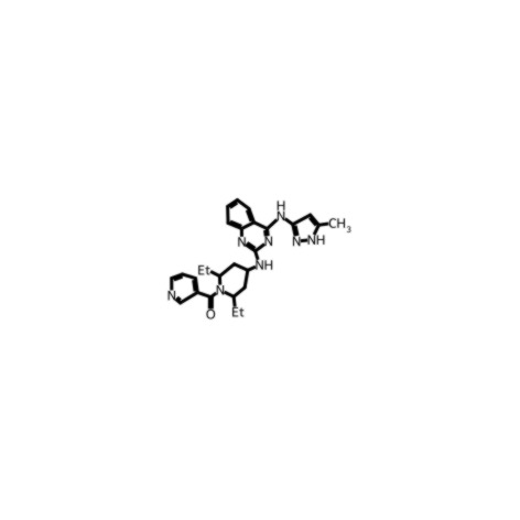 CCC1CC(Nc2nc(Nc3cc(C)[nH]n3)c3ccccc3n2)CC(CC)N1C(=O)c1cccnc1